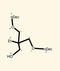 CCCCCCCCCCOCC(CC)(CO)COCCCCCCCCCC